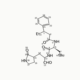 CCC(CC(=O)N[C@@H](CC(C)(C)C)C(=O)NC(C=O)CC1CCNC1=O)c1ccccc1